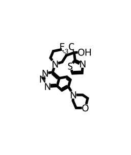 O[C@@](c1nccs1)([C@H]1CCCN(c2nnnc3cc(N4CCOCC4)ccc23)C1)C(F)(F)F